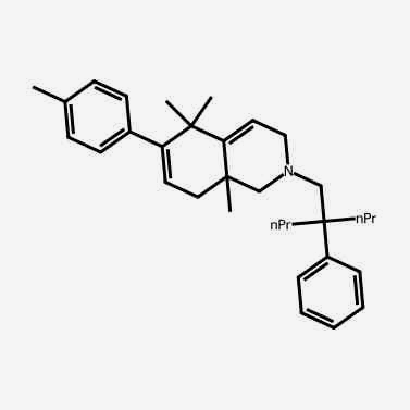 CCCC(CCC)(CN1CC=C2C(C)(CC=C(c3ccc(C)cc3)C2(C)C)C1)c1ccccc1